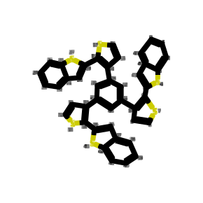 c1ccc2sc(-c3sccc3-c3cc(-c4ccsc4-c4cc5ccccc5s4)cc(-c4ccsc4-c4cc5ccccc5s4)c3)cc2c1